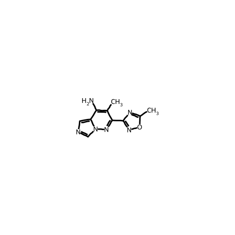 Cc1nc(-c2nn3cncc3c(N)c2C)no1